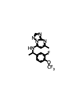 Cc1cc(NC(C)c2ccc(OC(F)(F)F)c(F)c2)n2ncnc2n1